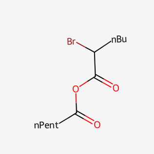 CCCCCC(=O)OC(=O)C(Br)CCCC